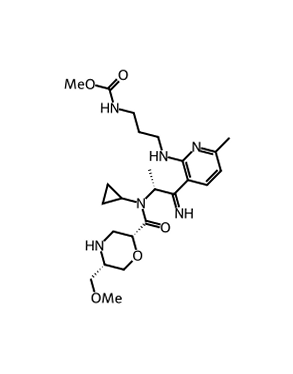 COC[C@H]1CO[C@@H](C(=O)N(C2CC2)[C@H](C)C(=N)c2ccc(C)nc2NCCCNC(=O)OC)CN1